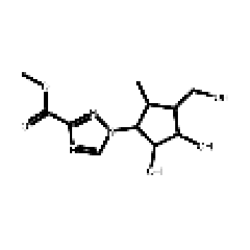 COC(=O)c1ncn(C2C(C)C(CO)C(O)C2O)n1